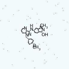 COc1ccc(Cn2nc(Nc3ccc4c(O)nn(C)c4c3)c3ncccc32)cc1